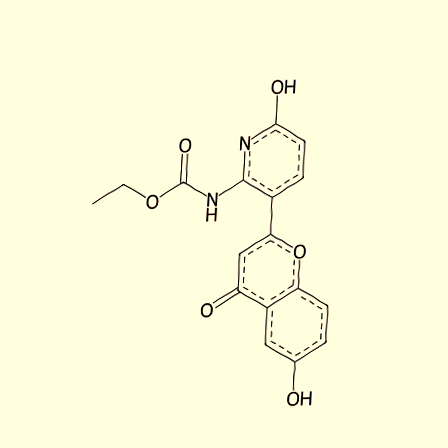 CCOC(=O)Nc1nc(O)ccc1-c1cc(=O)c2cc(O)ccc2o1